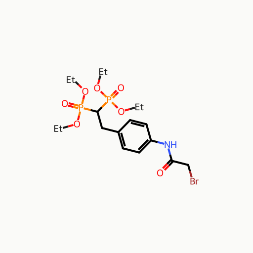 CCOP(=O)(OCC)C(Cc1ccc(NC(=O)CBr)cc1)P(=O)(OCC)OCC